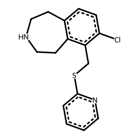 Clc1ccc2c(c1CSc1ccccn1)CCNCC2